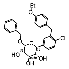 CCOc1ccc(Cc2cc([C@@H]3OC(OCc4ccccc4)[C@@H](O)[C@H](O)[C@H]3O)ccc2Cl)cc1